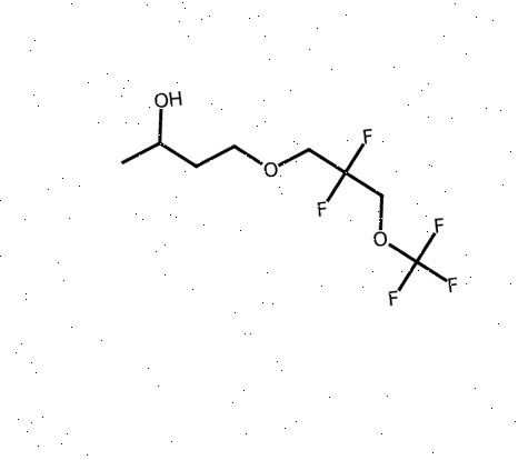 CC(O)CCOCC(F)(F)COC(F)(F)F